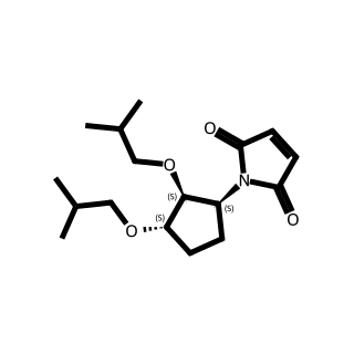 CC(C)CO[C@@H]1[C@@H](OCC(C)C)CC[C@@H]1N1C(=O)C=CC1=O